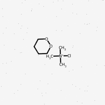 C1CCOOC1.C[N+](C)(C)Cl